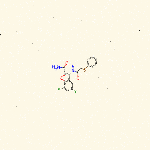 NC(=O)c1oc2c(F)cc(F)cc2c1NC(=O)CSc1ccccc1